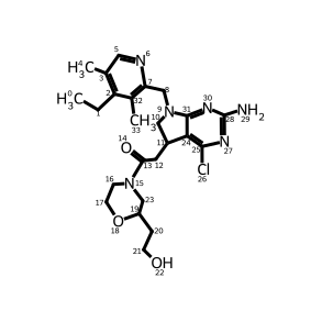 CCc1c(C)cnc(CN2CC(CC(=O)N3CCOC(CCO)C3)c3c(Cl)nc(N)nc32)c1C